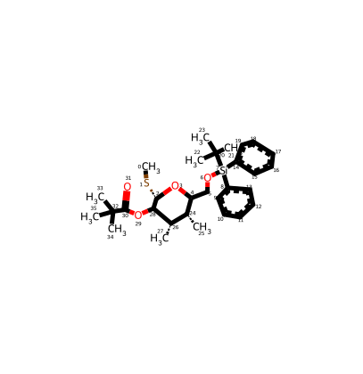 CS[C@@H]1OC(CO[Si](c2ccccc2)(c2ccccc2)C(C)(C)C)[C@H](C)[C@H](C)C1OC(=O)C(C)(C)C